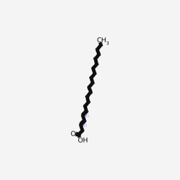 CCCCCCCCCCCCCCC/C=C/C=C/CC(=O)O